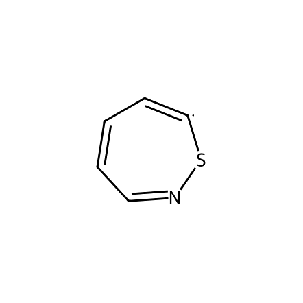 [C]1=CC=CC=NS1